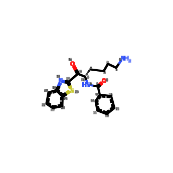 NCCCC[C@H](NC(=O)c1ccccc1)C(=O)c1nc2ccccc2s1